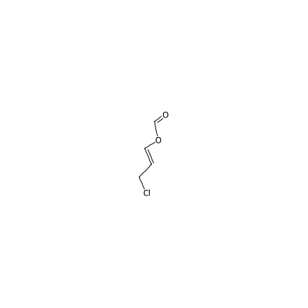 O=COC=CCCl